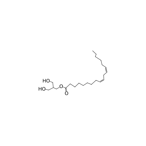 CCCCC/C=C\C/C=C\CCCCCCCC(=O)OCC(CO)CO